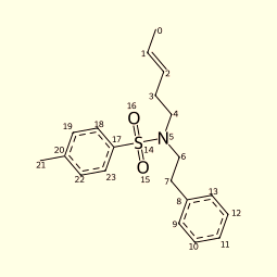 CC=CCCN(CCc1ccccc1)S(=O)(=O)c1ccc(C)cc1